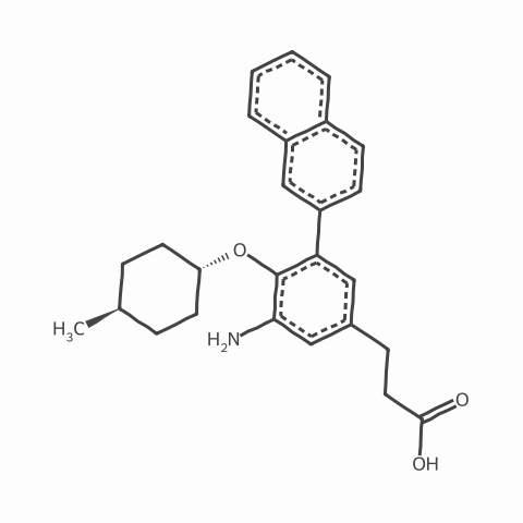 C[C@H]1CC[C@H](Oc2c(N)cc(CCC(=O)O)cc2-c2ccc3ccccc3c2)CC1